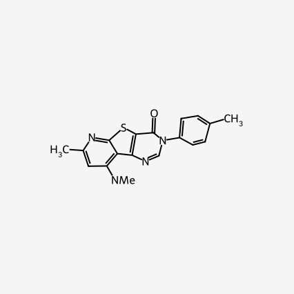 CNc1cc(C)nc2sc3c(=O)n(-c4ccc(C)cc4)cnc3c12